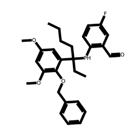 CCCCC(CC)(Pc1ccc(F)cc1C=O)c1cc(OC)cc(OC)c1OCc1ccccc1